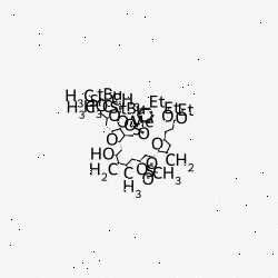 C=C1C[C@H](CCC(OCC)OCC)O[C@H]1CC[C@H](C[C@H](C)C(=C)[C@H](O)C[C@@H]1O[C@H](CC(CO[Si](C)(C)C(C)(C)C)O[Si](C)(C)C(C)(C)C)[C@H](OC)[C@H]1CS(=O)(=O)c1ccc(CC)cc1)OS(C)(=O)=O